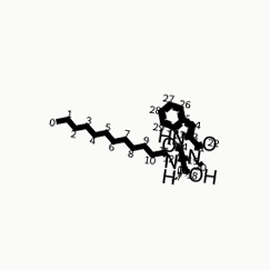 CCCCCCCCCCCCN[C@@](C=O)([C@@H](C)O)N(C)C(=O)c1cc2ccccc2[nH]1